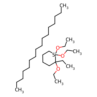 CCCCCCCCCCCCCCCC.CCOC1(CC)CCCC[Si]1(OCC)OCC